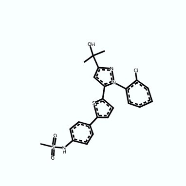 CC(C)(O)c1cc(-c2ccc(-c3ccc(NS(C)(=O)=O)cc3)s2)n(-c2ccccc2Cl)n1